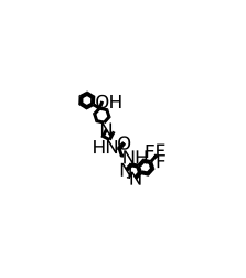 O=C(CNc1ncnc2ccc(C(F)(F)F)cc12)NC1CN(C2CCC(O)(c3ccccc3)CC2)C1